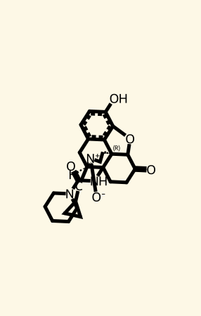 O=C1CCC2(NC(=O)N3CCCCC3)[C@H]3Cc4ccc(O)c5c4[C@@]2(CC[N+]3([O-])CC2CC2)C1O5